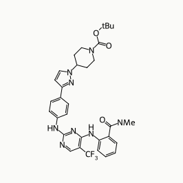 CNC(=O)c1ccccc1Nc1nc(Nc2ccc(-c3ccn(C4CCN(C(=O)OC(C)(C)C)CC4)n3)cc2)ncc1C(F)(F)F